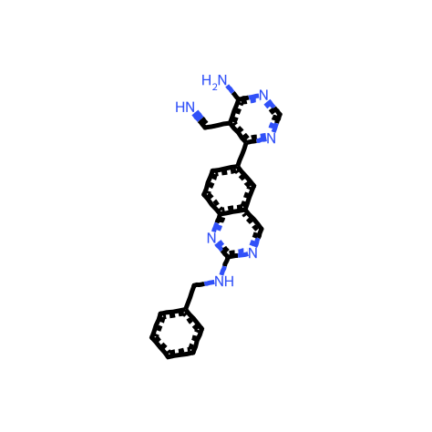 N=Cc1c(N)ncnc1-c1ccc2nc(NCc3ccccc3)ncc2c1